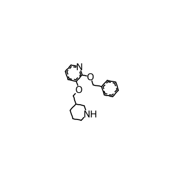 c1ccc(COc2ncccc2OCC2CCCNC2)cc1